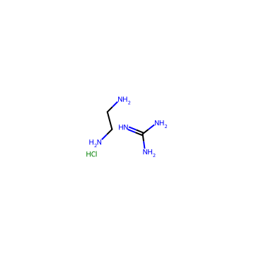 Cl.N=C(N)N.NCCN